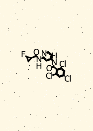 O=C(Nc1ccnc(NC(=O)C2CC2F)c1)c1c(Cl)cc(Cl)cc1Cl